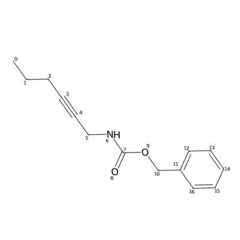 CCCC#CCNC(=O)OCc1ccccc1